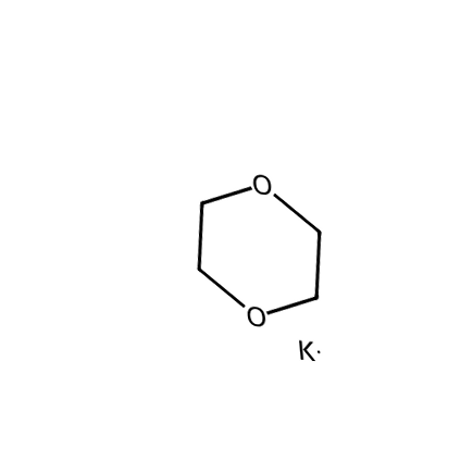 C1COCCO1.[K]